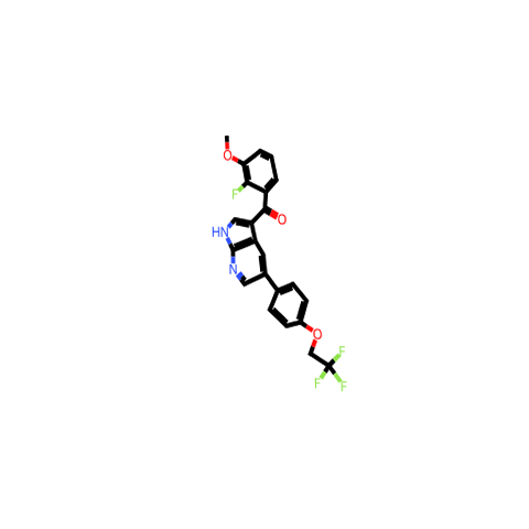 COc1cccc(C(=O)c2c[nH]c3ncc(-c4ccc(OCC(F)(F)F)cc4)cc23)c1F